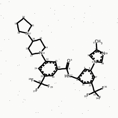 Cc1cn(-c2cc(NC(=O)c3cc(N4CCC(N5CCCC5)CC4)cc(C(F)(F)F)c3)cc(C(F)(F)F)c2)cn1